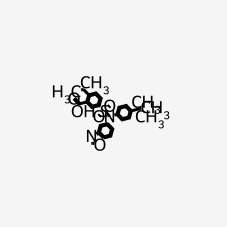 CC(C)c1ccc(S(=O)(=O)N(c2ccc(C(C)(C)C)cc2)c2ccc3ocnc3c2)cc1C(=O)O